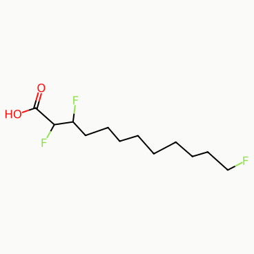 O=C(O)C(F)C(F)CCCCCCCCCF